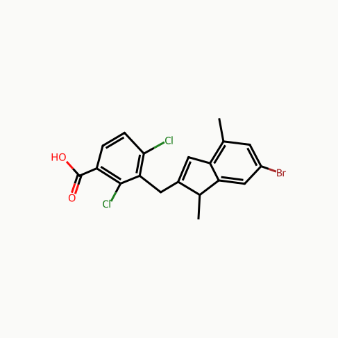 Cc1cc(Br)cc2c1C=C(Cc1c(Cl)ccc(C(=O)O)c1Cl)C2C